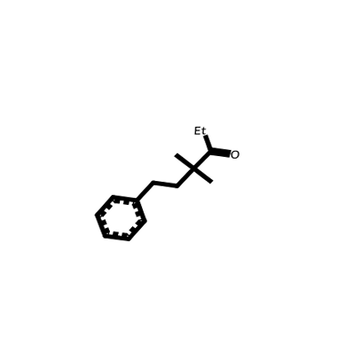 [CH2]CC(=O)C(C)(C)CCc1ccccc1